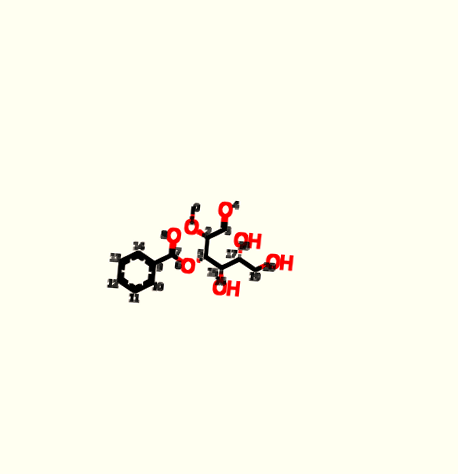 CO[C@@H](C=O)[C@@H](OC(=O)c1ccccc1)[C@H](O)[C@H](O)CO